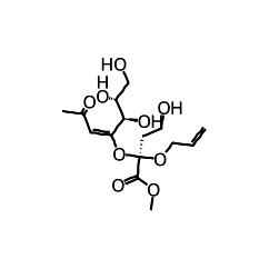 C=CCO[C@](CCO)(O/C(=C/C(C)=O)[C@H](O)[C@H](O)CO)C(=O)OC